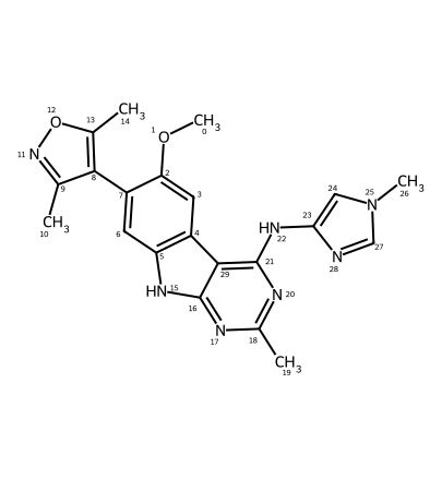 COc1cc2c(cc1-c1c(C)noc1C)[nH]c1nc(C)nc(Nc3cn(C)cn3)c12